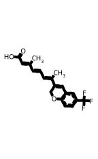 CC(/C=C/C=C(\C)C1=Cc2cc(C(F)(F)F)ccc2OC1)=C\C(=O)O